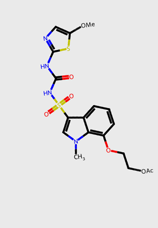 COc1cnc(NC(=O)NS(=O)(=O)c2cn(C)c3c(OCCOC(C)=O)cccc23)s1